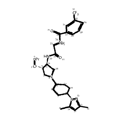 CCCO[C@H]1CN(C2CCC(n3nc(C)cc3C)CC2)C[C@@H]1NC(=O)CNC(=O)c1cccc(C(F)(F)F)c1